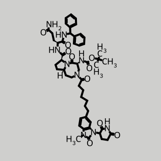 Cn1c(=O)n(C2CCC(=O)NC2=O)c2cc(CCCCCCC(=O)N3CC[C@H]4CC[C@@H](C(=O)N[C@@H](CCC(N)=O)C(=O)NC(c5ccccc5)c5ccccc5)N4C(=O)[C@@H](NC(=O)OC(C)(C)C)C3)ccc21